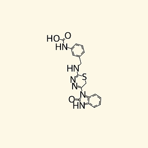 O=C(O)Nc1cccc(CNC2=NN=C(n3c(=O)[nH]c4ccccc43)CS2)c1